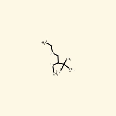 [CH2]COCC(OC)C(C)(C)C